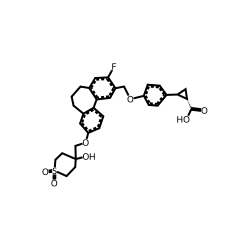 O=C(O)[C@H]1CC1c1ccc(OCc2cc3c(cc2F)CCCc2cc(OCC4(O)CCS(=O)(=O)CC4)ccc2-3)cc1